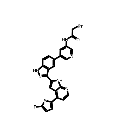 CC(C)CC(=O)Nc1cncc(-c2ccc3[nH]nc(-c4cc5c(-c6ccc(F)s6)ccnc5[nH]4)c3c2)c1